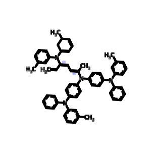 C=C/C(=C\C=C(/C)N(c1ccc(N(c2ccccc2)c2cccc(C)c2)cc1)c1ccc(N(c2ccccc2)c2cccc(C)c2)cc1)N(C1=CC=CC(C)C1)c1cccc(C)c1